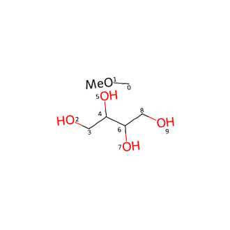 COC.OCC(O)C(O)CO